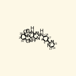 N=c1c2cnc(Nc3ccc(-c4ncccn4)cc3)nc2[nH]c(=O)n1-c1c(Cl)cccc1Cl